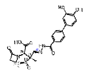 C[C@@H]1CC(=O)N1[C@@H](C(=O)O)[C@](C)(/C=N/NC(=O)c1ccc(-c2ccc(O)c(O)c2)cc1)[SH](=O)=O